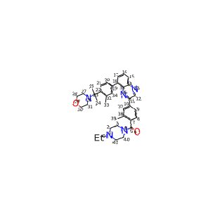 CCN1CCN(C(=O)c2ccc(-c3cnc4cccc(-c5ccc(C(C)(C)N6CCOCC6)c(C)c5)c4n3)cc2C)CC1